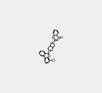 O=C(c1ccccc1-c1cccc(Cl)c1)N1CC2CN(C3=CNC4C=CC=CC4=N3)CC2C1